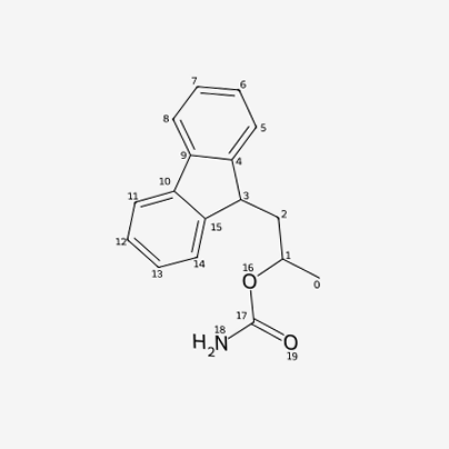 CC(CC1c2ccccc2-c2ccccc21)OC(N)=O